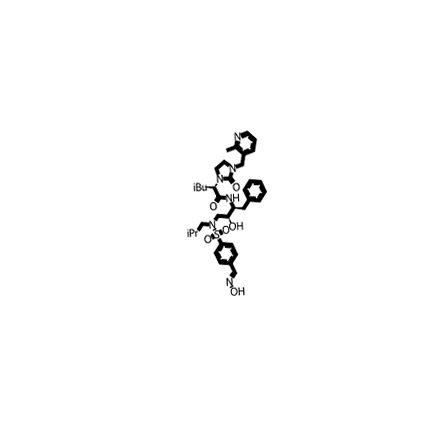 CC[C@H](C)[C@@H](C(=O)N[C@@H](Cc1ccccc1)[C@H](O)CN(CC(C)C)S(=O)(=O)c1ccc(C=NO)cc1)N1CCN(Cc2cccnc2C)C1=O